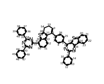 C1=C(c2ccc(-c3nc(-c4ccccc4)nc4c3sc3ccccc34)cc2)c2c(sc3c(-c4nc(-c5ccccc5)nc(-c5ccccc5)n4)cccc23)CC1